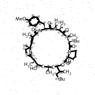 CC[C@H](C)[C@H]1C(=O)N2CCC[C@H]2C(=O)OC(C(C)CC(C)(C)C)C[C@@H](C)C[C@H](O)[C@H](C)C2=N[C@@H](/C=C(\C)C(=O)N[C@@H](Cc3ccc(OC)cc3)C(=O)N(C)[C@@H](C)C(=O)N1C)CS2